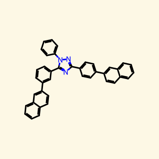 c1ccc(-n2nc(-c3ccc(-c4ccc5ccccc5c4)cc3)nc2-c2cccc(-c3ccc4ccccc4c3)c2)cc1